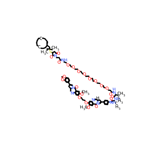 CCC(CC)(CC1/C=C\CCCCCCCCCCC1)SC1CC(=O)N(CCC(=O)NCCOCCOCCOCCOCCOCCOCCOCCOCCC(=O)N[C@H](C(=O)N[C@@H](C)C(=O)Nc2ccc(C3=CN4C(=O)c5cc(OC)c(OCCCOc6cc7c(cc6OC)C(=O)N6C=C(c8ccc9c(c8)OCO9)CC6C=N7)cc5N=C[C@@H]4C3)cc2)C(C)C)C1=O